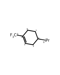 CC(C)C1CC=C(C(F)(F)F)CC1